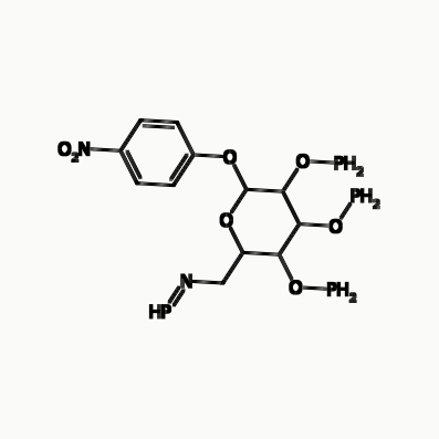 O=[N+]([O-])c1ccc(OC2OC(CN=P)C(OP)C(OP)C2OP)cc1